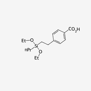 CCC[Si](CCc1ccc(C(=O)O)cc1)(OCC)OCC